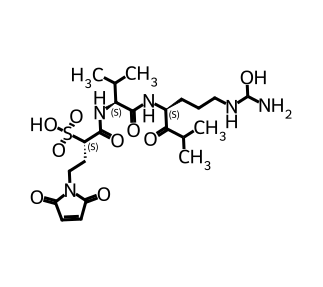 CC(C)C(=O)[C@H](CCCNC(N)O)NC(=O)[C@@H](NC(=O)[C@H](CCN1C(=O)C=CC1=O)S(=O)(=O)O)C(C)C